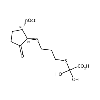 CCCCCCCC[C@H]1CCC(=O)[C@@H]1SCCCSC(O)(O)C(=O)O